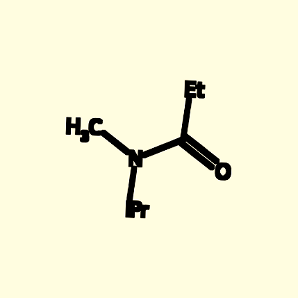 [CH2]CC(=O)N(C)C(C)C